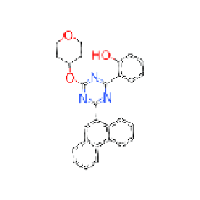 Oc1ccccc1-c1nc(OC2CCOCC2)nc(-c2cc3ccccc3c3ccccc23)n1